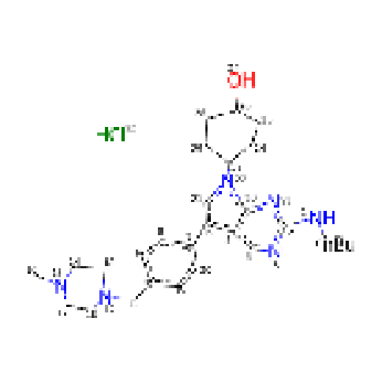 CCCCNc1ncc2c(-c3ccc(CN4CCN(C)CC4)cc3)cn(C3CCC(O)CC3)c2n1.Cl